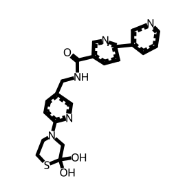 O=C(NCc1ccc(N2CCSC(O)(O)C2)nc1)c1ccc(-c2cccnc2)nc1